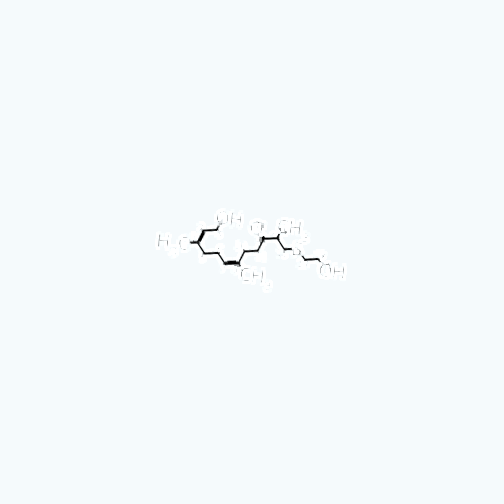 CC(=CCO)CCC=C(C)CCC(=O)C(C)CSCCO